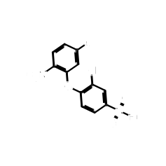 CCS(=O)(=O)c1ccc(Oc2cc(Cl)ccc2[N+](=O)[O-])c(Cl)c1